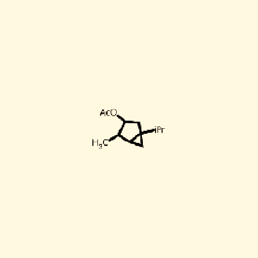 CC(=O)OC1CC2(C(C)C)CC2C1C